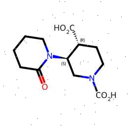 O=C(O)[C@@H]1CCN(C(=O)O)C[C@H]1N1CCCCC1=O